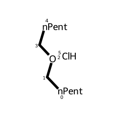 CCCCCCOCCCCCC.Cl